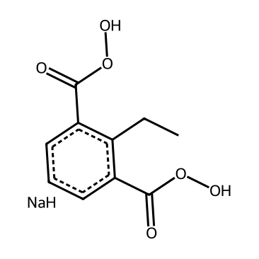 CCc1c(C(=O)OO)cccc1C(=O)OO.[NaH]